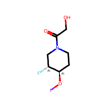 O=C(CO)N1CC[C@@H](OI)[C@H](F)C1